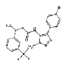 CC(OC(=O)Nc1c(-c2ccc(Br)cc2)nnn1C)c1cccc(C(F)(F)F)c1